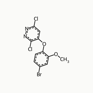 COc1cc(Br)ccc1Oc1cc(Cl)nnc1Cl